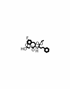 CCOC(=O)C(CCc1ccccc1)N[C@H]1CCc2cc(F)ccc2N(CC(=O)O)C1=O